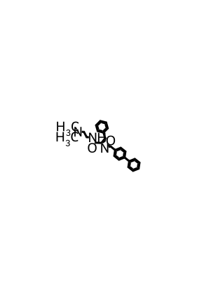 CN(C)CCNC(=O)c1nc(-c2ccc(-c3ccccc3)cc2)oc1-c1ccccc1